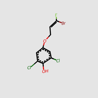 Oc1c(Cl)cc(OCC=C(F)Br)cc1Cl